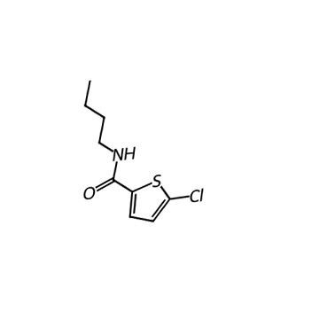 CCCCNC(=O)c1ccc(Cl)s1